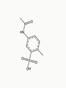 CC(=O)Nc1ccc(C)c(S(=O)(=O)O)c1